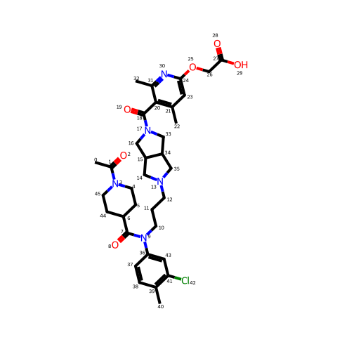 CC(=O)N1CCC(C(=O)N(CCCN2CC3CN(C(=O)c4c(C)cc(OCC(=O)O)nc4C)CC3C2)c2ccc(C)c(Cl)c2)CC1